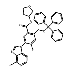 O=C(OC1CCOC1)c1cc(-n2cnc3c(Cl)ncnc32)c(F)cc1COC(c1ccccc1)(c1ccccc1)c1ccccc1